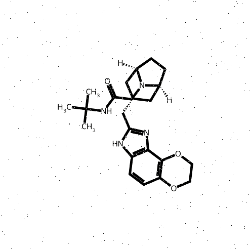 CC(C)(C)NC(=O)CN1[C@@H]2CC[C@H]1C[C@H](Cc1nc3c4c(ccc3[nH]1)OCCO4)C2